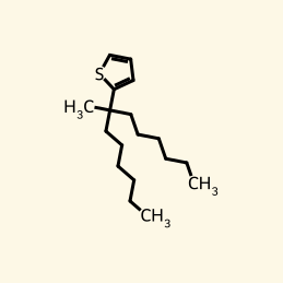 CCCCCCC(C)(CCCCCC)c1cccs1